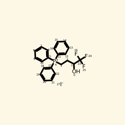 OC(CC[P+](c1ccccc1)(c1ccccc1)c1ccccc1)C(F)(F)F.[I-]